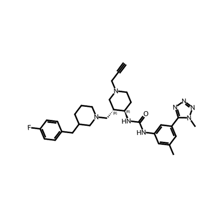 C#CCN1CC[C@@H](NC(=O)Nc2cc(C)cc(-c3nnnn3C)c2)[C@H](CN2CCCC(Cc3ccc(F)cc3)C2)C1